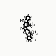 CC1(C)C(/C=C2\C(=O)C(=O)C(/C=C3/Nc4ccccc4C3(C)C)=C2O)=Nc2ccccc21